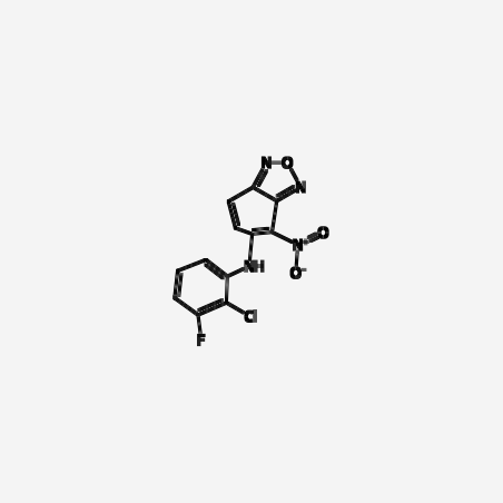 O=[N+]([O-])c1c(Nc2cccc(F)c2Cl)ccc2nonc12